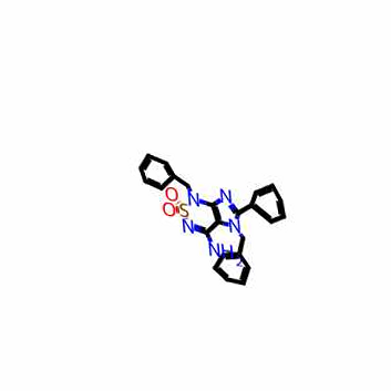 NC1=NS(=O)(=O)N(Cc2ccccc2)c2nc(-c3ccccc3)n(Cc3ccccc3)c21